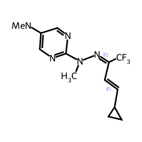 CNc1cnc(N(C)/N=C(\C=C\C2CC2)C(F)(F)F)nc1